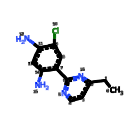 CCc1ccnc(-c2cc(Cl)c(N)cc2N)n1